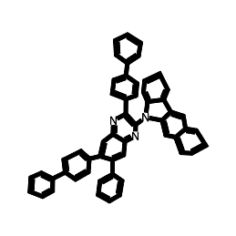 c1ccc(-c2ccc(-c3cc4nc(-c5ccc(-c6ccccc6)cc5)c(-n5c6ccccc6c6cc7ccccc7cc65)nc4cc3-c3ccccc3)cc2)cc1